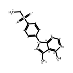 CCS(=O)(=O)c1ccc(-n2nc(C)c3c(O)ncnc32)cc1